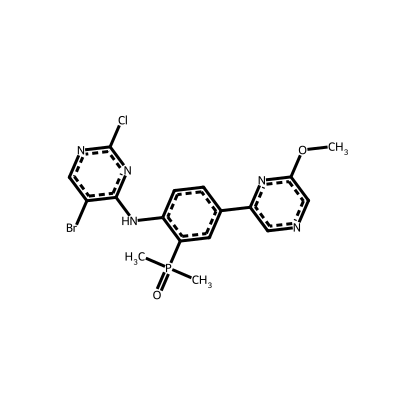 COc1cncc(-c2ccc(Nc3nc(Cl)ncc3Br)c(P(C)(C)=O)c2)n1